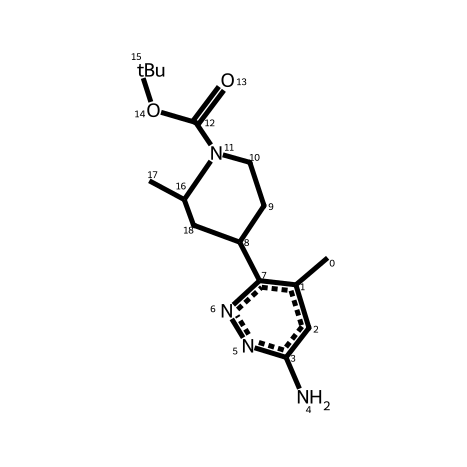 Cc1cc(N)nnc1C1CCN(C(=O)OC(C)(C)C)C(C)C1